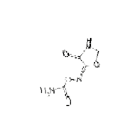 NC(=O)ON=C1OCNC1=O